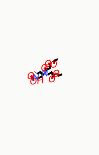 CCOC(=O)CCN(C(=O)CC(=O)OCC)C1CCN(C(=O)O)[C@H](C)C1